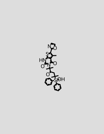 Cc1c(-c2ncco2)sc2[nH]c(=O)n(C(C)(C)C(=O)CC(C)(C)[Si](O)(c3ccccc3)c3ccccc3)c(=O)c12